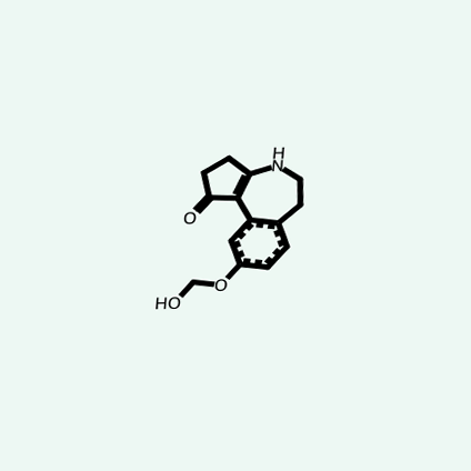 O=C1CCC2=C1c1cc(OCO)ccc1CCN2